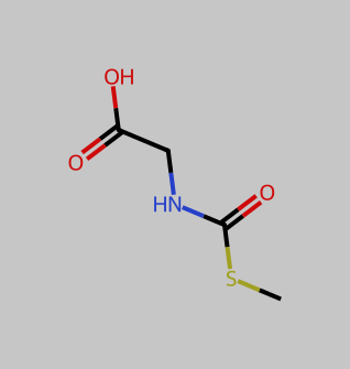 CSC(=O)NCC(=O)O